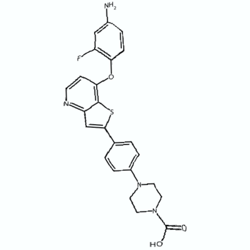 Nc1ccc(Oc2ccnc3cc(-c4ccc(N5CCN(C(=O)O)CC5)cc4)sc23)c(F)c1